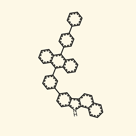 c1ccc(-c2ccc(-c3c4ccccc4c(-c4cccc(-c5ccc6[nH]c7c8ccccc8ccc7c6c5)c4)c4ccccc34)cc2)cc1